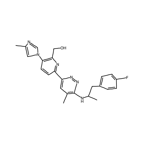 Cc1cn(-c2ccc(-c3cc(C)c(NC(C)Cc4ccc(F)cc4)nn3)nc2CO)cn1